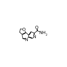 NC(=O)c1cc2c3c(cnc2cn1)CCO3